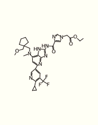 CCOC(=O)Cn1cnc(C(=O)Nc2nc3nc(-c4cnc(C5CC5)c(C(F)(F)F)c4)cc(N(C)CC4(COC)CCCC4)c3[nH]2)c1